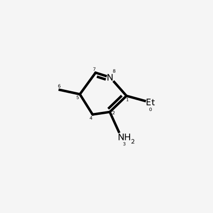 CCC1=C(N)CC(C)C=N1